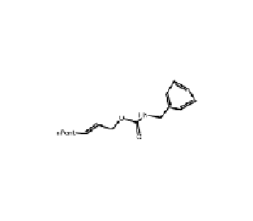 CCCCC/C=C/COC(=O)NCc1ccccc1